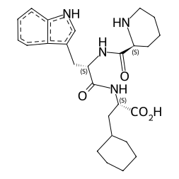 O=C(O)[C@H](CC1CCCCC1)NC(=O)[C@H](Cc1c[nH]c2ccccc12)NC(=O)[C@@H]1CCCCN1